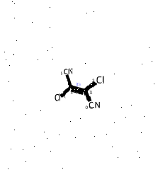 N#C/C(Cl)=C(\Cl)C#N